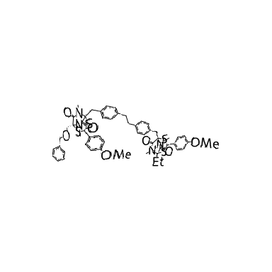 CC[C@@]12SC(c3ccc(OC)cc3)S[C@@](Cc3ccc(CCc4ccc(CC56SC(c7ccc(OC)cc7)S[C@@](COCc7ccccc7)(C(=O)N5C)N(C)C6=O)cc4)cc3)(C(=O)N1C)N(C)C2=O